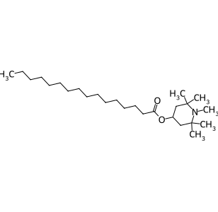 CCCCCCCCCCCCCCCC(=O)OC1CC(C)(C)N(C)C(C)(C)C1